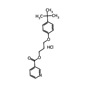 CC(C)(C)c1ccc(OCCCOC(=O)c2cccnc2)cc1.Cl